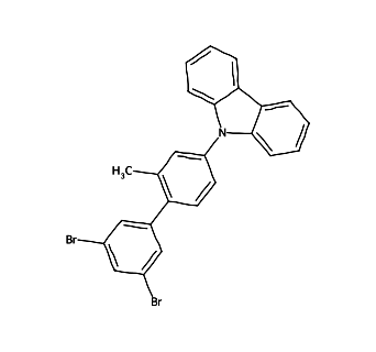 Cc1cc(-n2c3ccccc3c3ccccc32)ccc1-c1cc(Br)cc(Br)c1